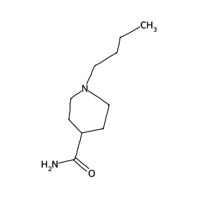 CCCCN1CCC(C(N)=O)CC1